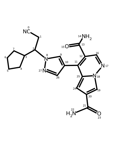 N#CCC(C1CCCC1)n1cc(-c2c(C(N)=O)cnn3cc(C(N)=O)cc23)cn1